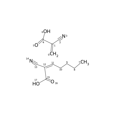 C=C(C#N)C(=O)O.CCCCC=C(C#N)C(=O)O